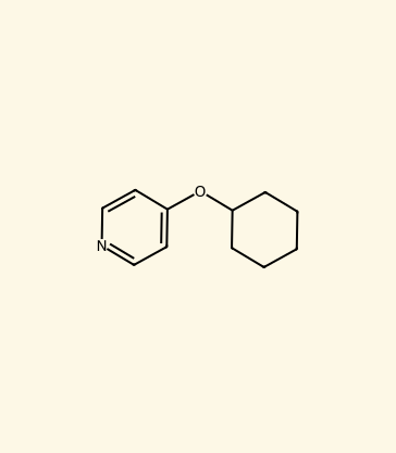 c1cc(OC2CCCCC2)ccn1